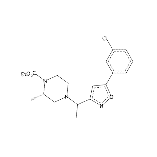 CCOC(=O)N1CCN(C(C)c2cc(-c3cccc(Cl)c3)on2)C[C@@H]1C